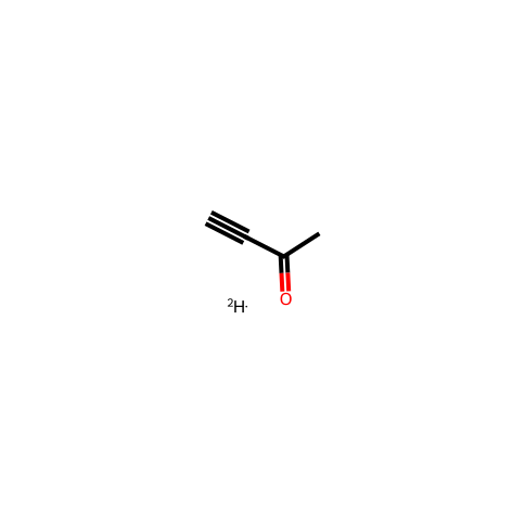 C#CC(C)=O.[2H]